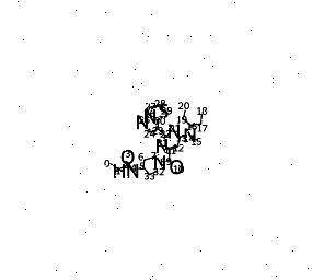 CCC(=O)NC1CCN(C(=O)c2cc(N(C)C(CC)CC)nc(-c3cnn4ccsc34)n2)CC1